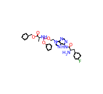 CC(NP(OCCn1cnc2c(NC(=O)C(N)Cc3ccc(F)cc3)ncnc21)Oc1ccccc1)C(=O)OCc1ccccc1